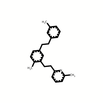 Cc1cccc(CCc2ccc(C)c(CCc3cccc(C)n3)c2)c1